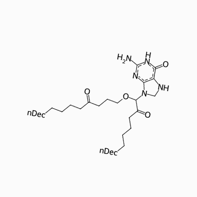 CCCCCCCCCCCCCCC(=O)CCCOC(C(=O)CCCCCCCCCCCCCC)N1CNc2c1nc(N)[nH]c2=O